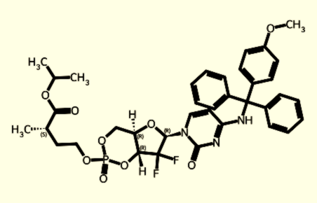 COc1ccc(C(Nc2ccn([C@@H]3O[C@@H]4COP(=O)(OCC[C@H](C)C(=O)OC(C)C)O[C@H]4C3(F)F)c(=O)n2)(c2ccccc2)c2ccccc2)cc1